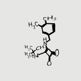 Cc1ccc(CNc2c(NC(C)(C)C)c(=O)c2=O)cc1C